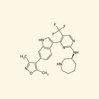 Cc1noc(C)c1-c1ccc2c(-c3nc(N[C@H]4CCCCNC4)ncc3C(F)(F)F)c[nH]c2c1